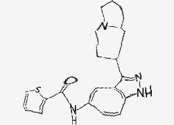 O=C(Nc1ccc2[nH]nc(C3CCN4CCCC4C3)c2c1)c1cccs1